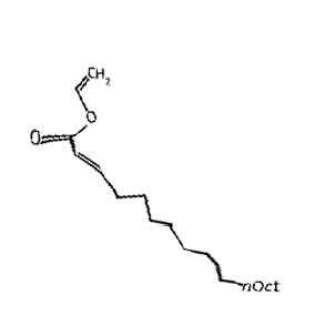 C=COC(=O)C=CCCCCCCCCCCCCCCC